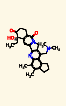 CC[C@@]1(O)C(=O)CCc2c1cc1n(c2=O)Cc2c-1nc1c(C)c(C)c3c(c1c2CN(C)C)CCC3